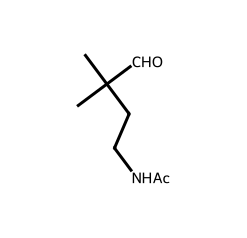 CC(=O)NCCC(C)(C)C=O